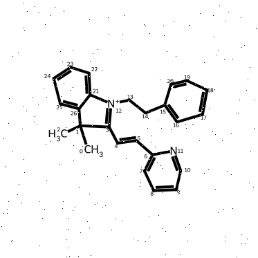 CC1(C)C(C=Cc2ccccn2)=[N+](CCc2ccccc2)c2ccccc21